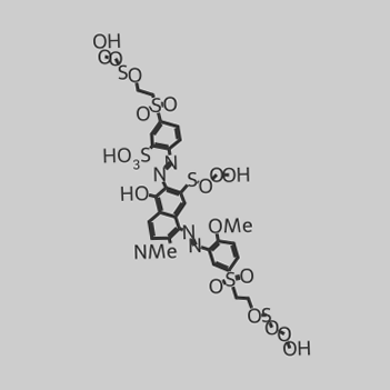 CNc1ccc2c(O)c(/N=N/c3ccc(S(=O)(=O)CCOSOOO)cc3S(=O)(=O)O)c(SOOO)cc2c1/N=N/c1cc(S(=O)(=O)CCOSOOO)ccc1OC